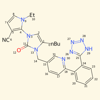 CCCCc1cn(-c2c(C#N)ccn2CC)c(=O)n1Cc1ccc(-c2ccccc2-c2nnn[nH]2)nc1